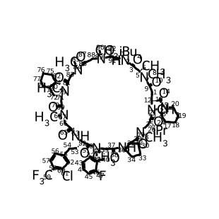 CC[C@H](C)[C@@H]1NC(=O)[C@H](C)N(C)C(=O)C[C@@H](C(=O)N2CCCCC2)N(C)C(=O)[C@H](C(C)C)N(C)C(=O)C2(CCCC2)NC(=O)[C@H](Cc2ccccc2F)N(C)C(=O)[C@H](CCc2ccc(C(F)(F)F)c(Cl)c2)NC(=O)CN(C)C(=O)[C@H](CC2CCCCC2)N(C)C(=O)CN(C)C(=O)CN(C)C1=O